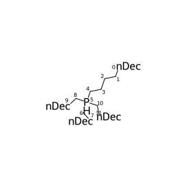 CCCCCCCCCCCCCC[PH](CCCCCCCCCCC)(CCCCCCCCCCC)CCCCCCCCCCC